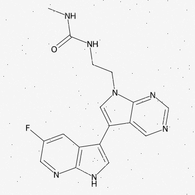 CNC(=O)NCCn1cc(-c2c[nH]c3ncc(F)cc23)c2cncnc21